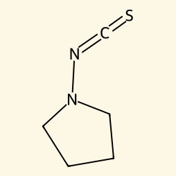 S=C=NN1CCCC1